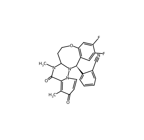 Cc1c2n(ccc1=O)N1C(CCOc3cc(F)c(F)cc3[C@H]1c1ccccc1C#N)N(C)C2=O